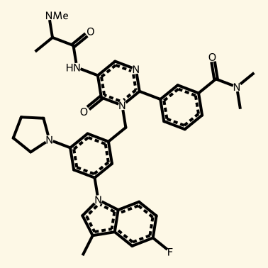 CNC(C)C(=O)Nc1cnc(-c2cccc(C(=O)N(C)C)c2)n(Cc2cc(N3CCCC3)cc(-n3cc(C)c4cc(F)ccc43)c2)c1=O